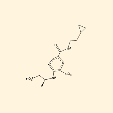 C[C@@H](CC(=O)O)Nc1ccc(C(=O)NCCC2CC2)cc1[N+](=O)[O-]